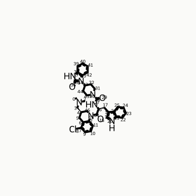 CN(C)C[C@@H]1Cc2c(Cl)cccc2N(C(=O)[C@H](Cc2c[nH]c3ccccc23)NC(=O)N2CCC(n3c(=O)[nH]c4ccccc43)CC2)C1